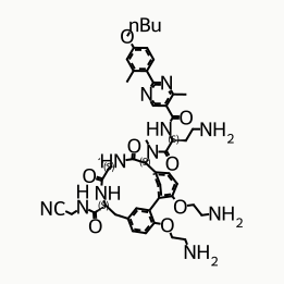 CCCCOc1ccc(-c2ncc(C(=O)N[C@@H](CCN)C(=O)N(C)[C@@H]3C(=O)N[C@@H](C)C(=O)N[C@H](C(=O)NCC#N)Cc4ccc(OCCN)c(c4)-c4cc3ccc4OCCN)c(C)n2)c(C)c1